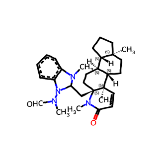 CN1c2ccccc2N(N(C)C=O)C1C[C@@]12CC[C@H]3[C@@H]4CCC[C@@]4(C)CC[C@@H]3[C@@]1(C)C=CC(=O)N2C